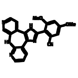 COc1cc(C#N)c(-c2nc3c([nH]2)-c2ccncc2Nc2ncccc2-3)c(OC)c1